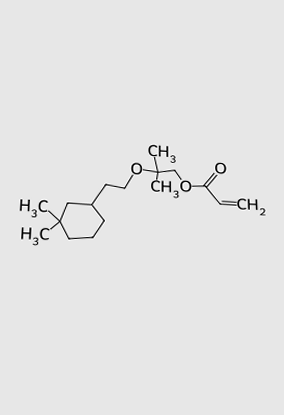 C=CC(=O)OCC(C)(C)OCCC1CCCC(C)(C)C1